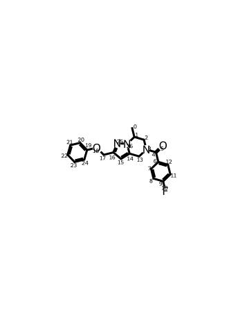 CC1CN(C(=O)c2ccc(F)cc2)Cc2cc(COc3ccccc3)nn21